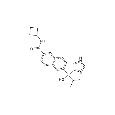 CC(C)C(O)(c1ccc2cc(C(=O)NC3CCC3)ccc2c1)c1c[nH]cn1